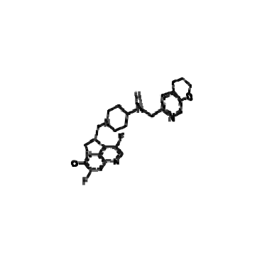 O=c1c(F)cc2ncc(F)c3c2n1CC3CN1CCC(NCc2cc3c(cn2)OCCC3)CC1